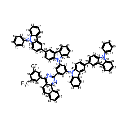 FC(F)(F)c1cc(-c2nc(-c3cc(-n4c5ccccc5c5cc(-c6ccc7c(c6)c6ccccc6n7-c6ccccc6)ccc54)cc(-n4c5ccccc5c5cc(-c6ccc7c(c6)c6ccccc6n7-c6ccccc6)ccc54)c3)nc3c2ccc2ccccc23)cc(C(F)(F)F)c1